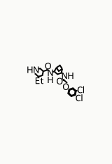 CCC1CNCC(C(=O)NC2CC(NC(=O)COc3ccc(Cl)c(Cl)c3)C3CC2C3)C1